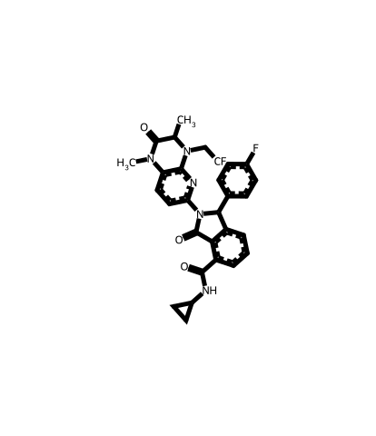 CC1C(=O)N(C)c2ccc(N3C(=O)c4c(C(=O)NC5CC5)cccc4C3c3ccc(F)cc3)nc2N1CC(F)(F)F